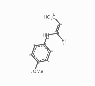 CC/C(=C/C(=O)O)Nc1ccc(OC)cc1